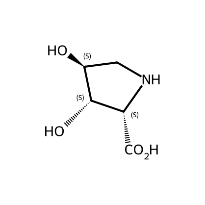 O=C(O)[C@H]1NC[C@H](O)[C@H]1O